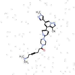 CN(C)CCC#CCCC(=O)N1CCN(c2ccc(-c3cc(-c4cnn(C)c4)cn4ncc(C#N)c34)cn2)CC1